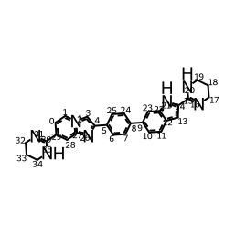 c1cn2cc(-c3ccc(-c4ccc5cc(C6=NCCCN6)[nH]c5c4)cc3)nc2cc1C1=NCCCN1